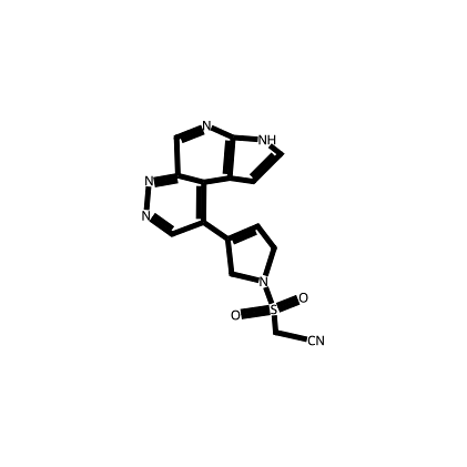 N#CCS(=O)(=O)N1CC=C(c2cnnc3cnc4[nH]ccc4c23)C1